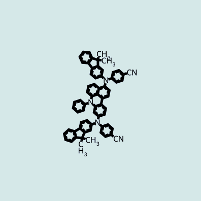 CC1(C)c2ccccc2-c2ccc(N(c3ccc(C#N)cc3)c3ccc4c(c3)N(c3ccccc3)c3cccc5c(N(c6ccc(C#N)cc6)c6ccc7c(c6)C(C)(C)c6ccccc6-7)ccc-4c35)cc21